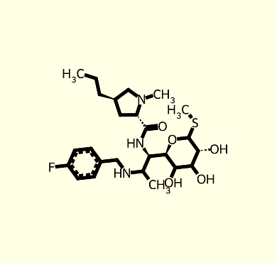 CCC[C@@H]1C[C@@H](C(=O)N[C@H](C(C)NCc2ccc(F)cc2)[C@H]2OC(SC)[C@H](O)C(O)C2O)N(C)C1